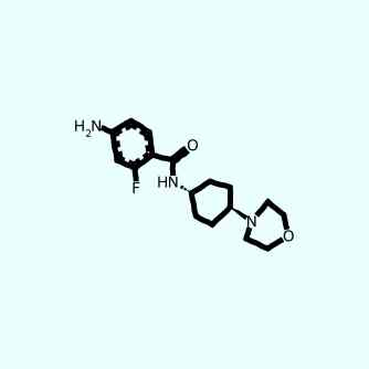 Nc1ccc(C(=O)N[C@H]2CC[C@H](N3CCOCC3)CC2)c(F)c1